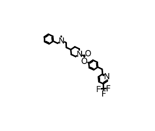 CN(CCC1CCN(C(=O)Oc2ccc(Cc3ccc(C(F)(F)F)cn3)cc2)CC1)Cc1ccccc1